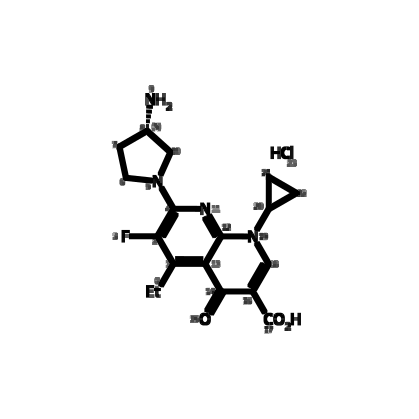 CCc1c(F)c(N2CC[C@H](N)C2)nc2c1c(=O)c(C(=O)O)cn2C1CC1.Cl